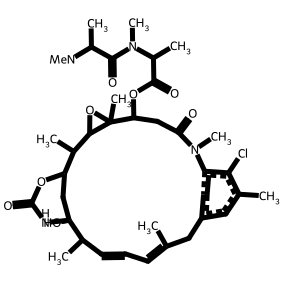 CNC(C)C(=O)N(C)C(C)C(=O)OC1CC(=O)N(C)c2cc(cc(C)c2Cl)C/C(C)=C/C=C/C(C)C2(O)CC(OC(=O)N2)C(C)C2OC12C